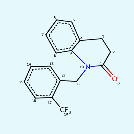 O=C1CCc2ccccc2N1Cc1ccccc1C(F)(F)F